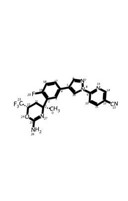 C[C@@]1(c2cc(-c3cnn(-c4ccc(C#N)cn4)c3)ccc2F)C[C@@H](C(F)(F)F)OC(N)=N1